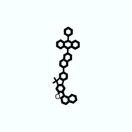 CC1(C)c2cc(-c3ccc4cc(-c5c6ccccc6c(-c6ccccc6)c6ccccc56)ccc4c3)ccc2-c2cc3c(cc21)oc1ccc2ccccc2c13